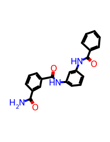 NC(=O)c1cccc(C(=O)Nc2cccc(NC(=O)c3ccccc3)c2)c1